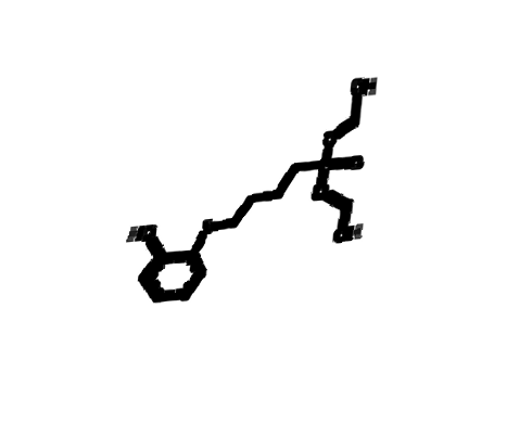 O=P(CCCCSc1ccccc1O)(OCO)OCO